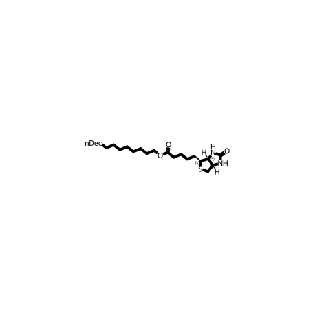 CCCCCCCCCCCCCCCCCCOC(=O)CCCC[C@@H]1SC[C@@H]2NC(=O)N[C@@H]21